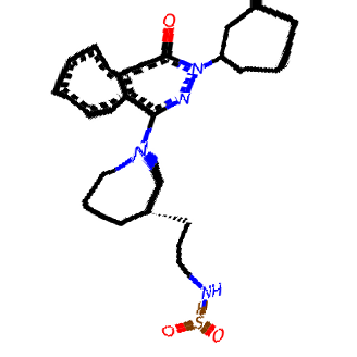 O=c1c2ccccc2c(N2CCC[C@@H](CCN[SH](=O)=O)C2)nn1C1CCCCC1